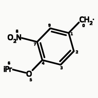 [CH2]c1ccc(OC(C)C)c([N+](=O)[O-])c1